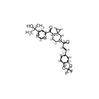 CC(C)(O)c1cc(C(=O)N2CCN(C(=O)/C=C/c3ccc4c(c3)OC(F)(F)O4)CC23CC3)ncn1